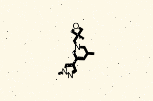 CC1C=C(c2cnn(C)c2)CN(CC2(C)COC2)C1